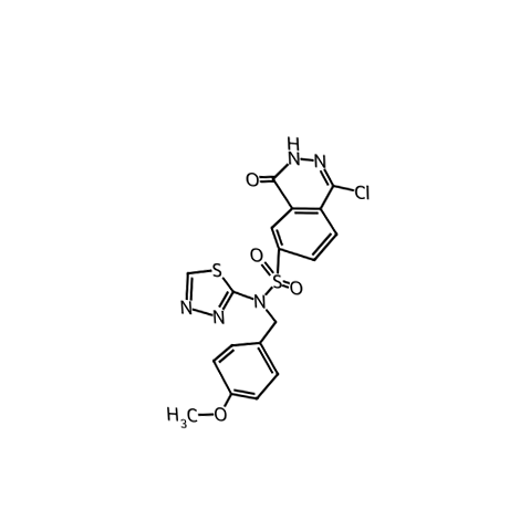 COc1ccc(CN(c2nncs2)S(=O)(=O)c2ccc3c(Cl)n[nH]c(=O)c3c2)cc1